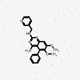 COc1cc2nc(NCc3cccnc3)nc(N)c2c(-c2ccccc2)c1OC